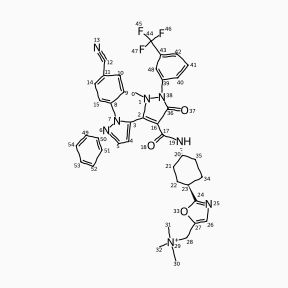 Cn1c(-c2ccnn2-c2ccc(C#N)cc2)c(C(=O)N[C@H]2CC[C@H](c3ncc(C[N+](C)(C)C)o3)CC2)c(=O)n1-c1cccc(C(F)(F)F)c1.c1ccccc1